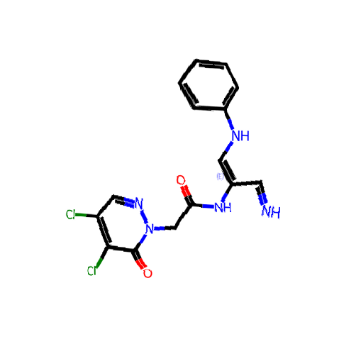 N=C/C(=C\Nc1ccccc1)NC(=O)Cn1ncc(Cl)c(Cl)c1=O